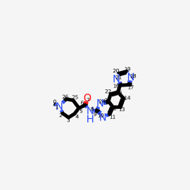 CN1CCCC(C(=O)Nc2ncc3ccc(-c4cnccn4)cc3n2)CC1